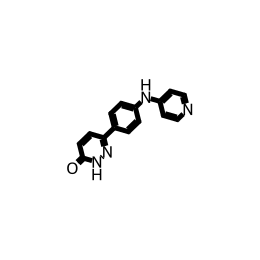 O=c1ccc(-c2ccc(Nc3ccncc3)cc2)n[nH]1